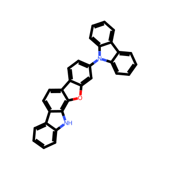 c1ccc2c(c1)[nH]c1c2ccc2c3ccc(-n4c5ccccc5c5ccccc54)cc3oc21